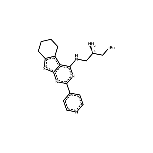 CC(C)(C)C[C@H](N)CNc1nc(-c2ccncc2)nc2sc3c(c12)CCCC3